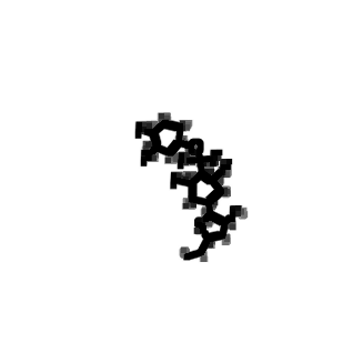 CCc1cc(F)c(-c2cc(F)c(C(F)(F)Oc3ccc(F)c(F)c3)c(F)c2)s1